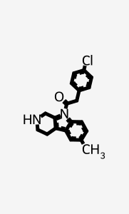 Cc1ccc2c(c1)c1c(n2C(=O)Cc2ccc(Cl)cc2)CNCC1